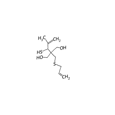 C=CCSCC(CO)(CO)C(S)C(=C)C